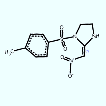 Cc1ccc(S(=O)(=O)N2CCN/C2=C/[N+](=O)[O-])cc1